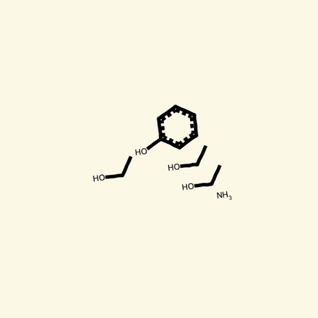 CCO.CCO.CCO.N.Oc1ccccc1